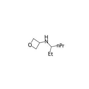 CCCC(CC)NC1COC1